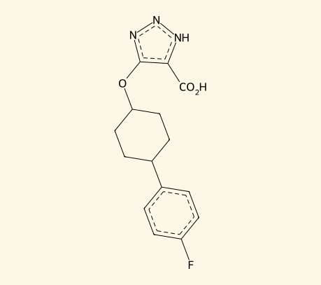 O=C(O)c1[nH]nnc1OC1CCC(c2ccc(F)cc2)CC1